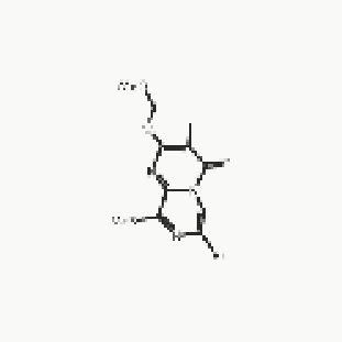 COCOc1nc2c(SC)nc(Br)cn2c(=O)c1C